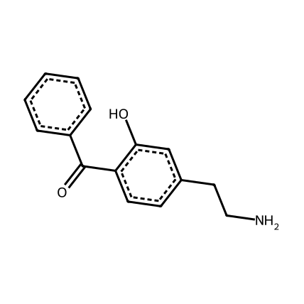 NCCc1ccc(C(=O)c2ccccc2)c(O)c1